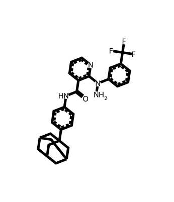 NN(c1cccc(C(F)(F)F)c1)c1ncccc1C(=O)Nc1ccc(C23CC4CC(CC(C4)C2)C3)cc1